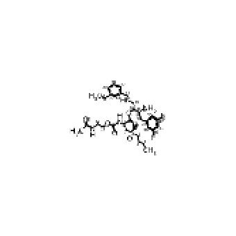 CCCCS(=O)(=O)C[C@@H](NC(=O)OCCNC(C)=O)C(=O)O[C@H](CNCc1cccc(CC)c1)[C@@H](N)Cc1cc(F)cc(F)c1